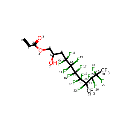 C=CC(=O)OCC(O)CC(F)(F)C(F)(F)C(F)(F)C(F)(F)C(F)(C(F)(F)F)C(F)(F)C(F)(F)C(F)(F)F